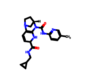 Cc1ccc(NC(=O)N2C3=C(C=CC(C(=O)NCC4CC4)N3)N3CC[C@H]2C3)nc1